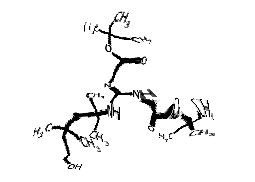 CC(C)(CO)CC(C)(C)N/C(=N/C(=O)OC(C)(C)C)NC(=O)OC(C)(C)C